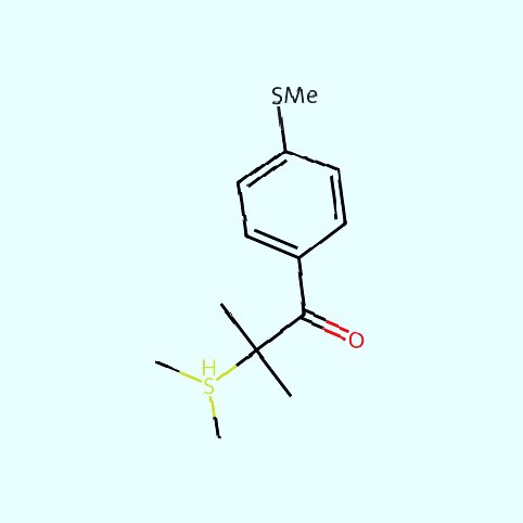 CSc1ccc(C(=O)C(C)(C)[SH](C)C)cc1